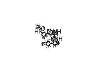 O=C(Nc1cncc(-c2cc3c(-c4nc5c(-c6ccc(F)cc6)ccnc5[nH]4)n[nH]c3cn2)c1)C1CCC1